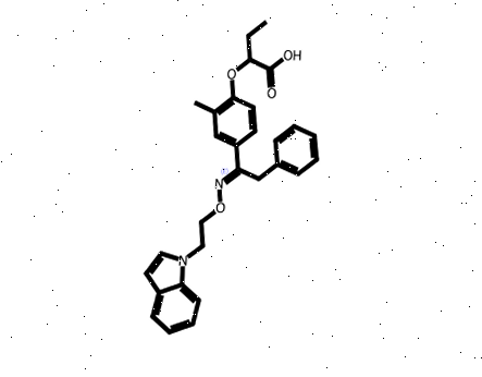 CCC(Oc1ccc(/C(Cc2ccccc2)=N/OCCn2ccc3ccccc32)cc1C)C(=O)O